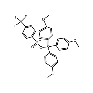 COc1ccc(S(OS(=O)(=O)c2ccc(C(F)(F)F)cc2)(c2ccc(OC)cc2)c2ccc(OC)cc2)cc1